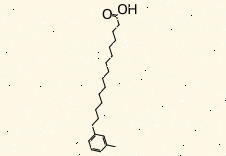 Cc1cccc(CCCCCCCCCCCCCCC(=O)O)c1